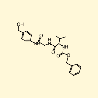 CC(C)C(NC(=O)OCc1ccccc1)C(=O)NCC(=O)Nc1ccc(CO)cc1